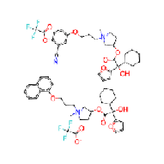 C[N+]1(CCCOc2cccc(C#N)c2)CCC(OC(=O)C(O)(c2ccco2)C2CCCCC2)C1.C[N+]1(CCCOc2cccc3ccccc23)CCC(OC(=O)C(O)(c2ccco2)C2CCCCC2)C1.O=C([O-])C(F)(F)F.O=C([O-])C(F)(F)F